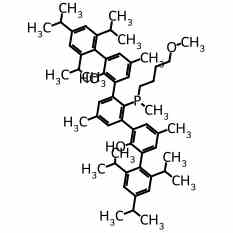 COCCCCP(C)c1c(-c2cc(C)cc(-c3c(C(C)C)cc(C(C)C)cc3C(C)C)c2O)cc(C)cc1-c1cc(C)cc(-c2c(C(C)C)cc(C(C)C)cc2C(C)C)c1O